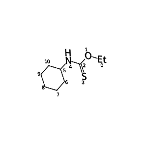 CCOC(=S)NC1CCCCC1